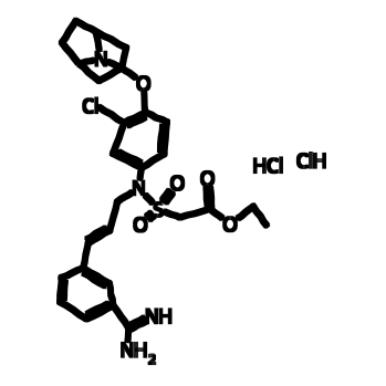 CCOC(=O)CS(=O)(=O)N(C/C=C/c1cccc(C(=N)N)c1)c1ccc(OC2CC3CCC(C2)N3C)c(Cl)c1.Cl.Cl